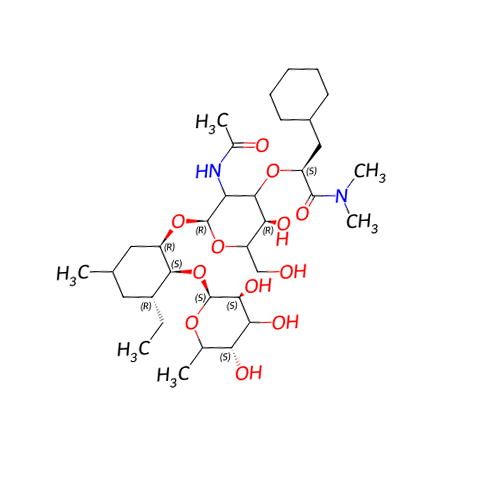 CC[C@@H]1CC(C)C[C@@H](O[C@@H]2OC(CO)[C@H](O)C(O[C@@H](CC3CCCCC3)C(=O)N(C)C)C2NC(C)=O)[C@H]1O[C@@H]1OC(C)[C@@H](O)C(O)[C@@H]1O